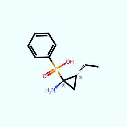 CC[C@@H]1C[C@]1(N)P(=O)(O)c1ccccc1